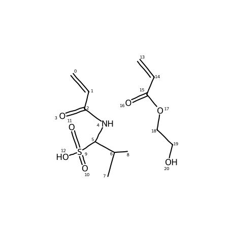 C=CC(=O)NC(C(C)C)S(=O)(=O)O.C=CC(=O)OCCO